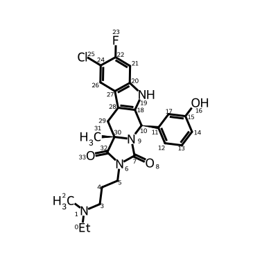 CCN(C)CCCN1C(=O)N2[C@H](c3cccc(O)c3)c3[nH]c4cc(F)c(Cl)cc4c3C[C@@]2(C)C1=O